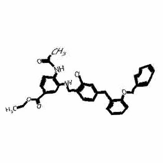 CCOC(=O)c1ccc(NC(C)=O)c(NCc2ccc(Cc3ccccc3OCc3ccccc3)cc2Cl)c1